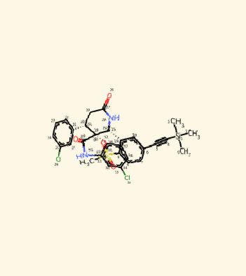 C[Si](C)(C)C#Cc1ccc(S(C)(=O)=O)c([C@H]2NC(=O)C[C@@H](c3cccc(Cl)c3)[C@]23C(=O)Nc2cc(Cl)ccc23)c1